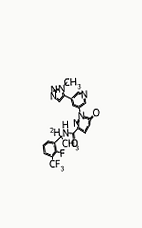 [2H][C@](C)(NC(=O)c1ccc(=O)n(-c2cncc(-c3cnnn3C)c2)n1)c1cccc(C(F)(F)F)c1F